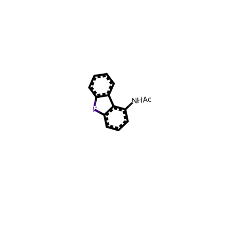 CC(=O)Nc1cccc2c1-c1ccccc1[I+]2